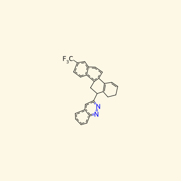 FC(F)(F)c1ccc2c3c(ccc2c1)C1=C(CCC=C1)C(c1cc2ccccc2nn1)C3